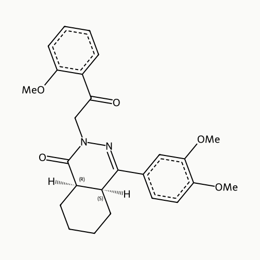 COc1ccc(C2=NN(CC(=O)c3ccccc3OC)C(=O)[C@@H]3CCCC[C@H]23)cc1OC